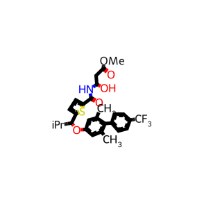 COC(=O)CC(O)NC(=O)c1ccc(C(Oc2cc(C)c(-c3ccc(C(F)(F)F)cc3)c(C)c2)C(C)C)s1